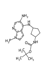 CC(C)(C)OC(=O)NC1CCC(Nc2c(N)cnc3c2ccn3P)C1